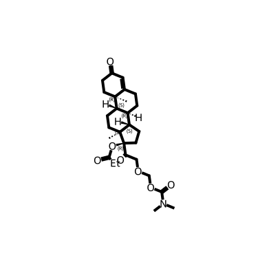 CCC(=O)O[C@]1(C(=O)COCOC(=O)N(C)C)CC[C@H]2[C@@H]3CCC4=CC(=O)CC[C@]4(C)[C@H]3CC[C@@]21C